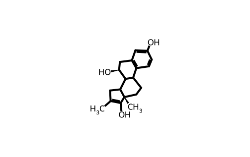 CC1=C(O)[C@@]2(C)CCC3c4ccc(O)cc4C[C@H](O)C3C2C1